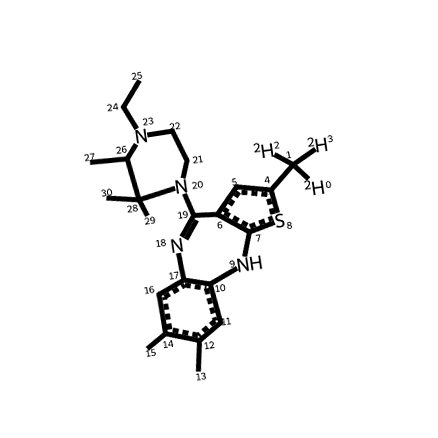 [2H]C([2H])([2H])c1cc2c(s1)Nc1cc(C)c(C)cc1N=C2N1CCN(CC)C(C)C1(C)C